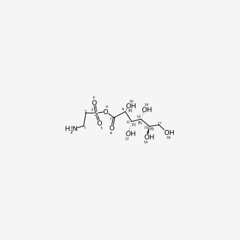 NCCS(=O)(=O)OC(=O)[C@H](O)[C@@H](O)[C@H](O)[C@H](O)CO